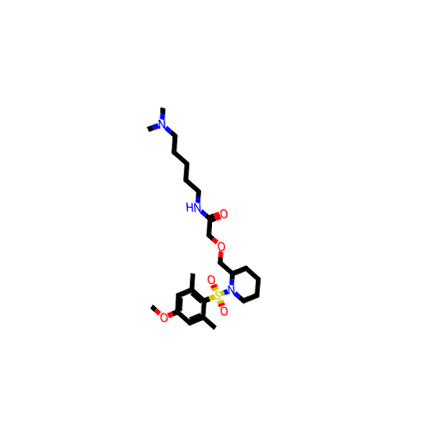 COc1cc(C)c(S(=O)(=O)N2CCCCC2COCC(=O)NCCCCCN(C)C)c(C)c1